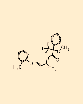 COC(C(=O)OC(C)C=COc1ccccc1C)(c1ccccc1)C(F)(F)F